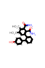 NC(=O)c1c(-c2ccccc2-c2ccc(O)cc2)cc(C(=O)O)c(C(=O)O)c1C(N)=O